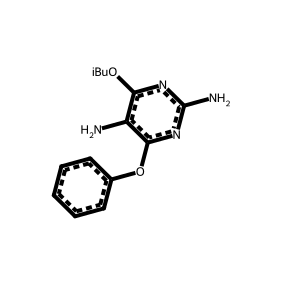 CC(C)COc1nc(N)nc(Oc2ccccc2)c1N